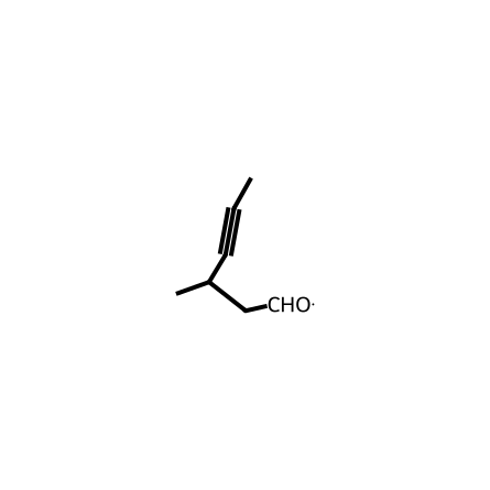 CC#CC(C)C[C]=O